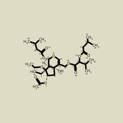 CCO[C@@]1(CO)[C@@H](OC(C)=O)C[C@]2(O)C(COC(=O)C(OC(=O)CC(C)C)C(C)C)=CO[C@@H](OC(=O)CC(C)C)[C@H]12